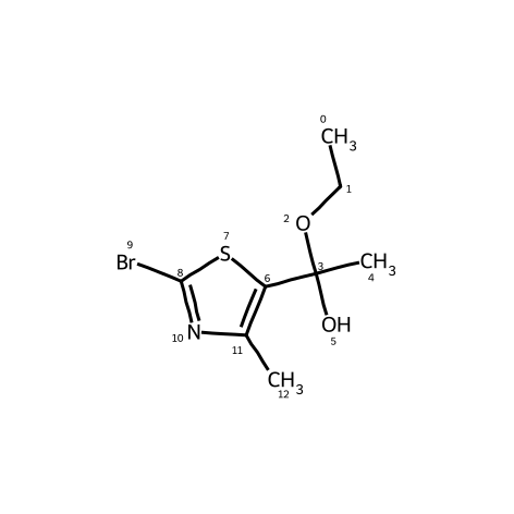 CCOC(C)(O)c1sc(Br)nc1C